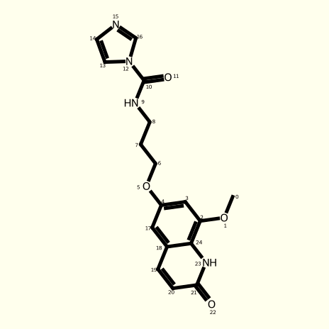 COc1cc(OCCCNC(=O)n2ccnc2)cc2ccc(=O)[nH]c12